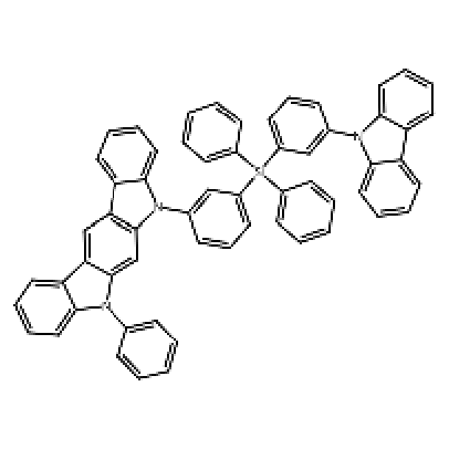 c1ccc(-n2c3ccccc3c3cc4c5ccccc5n(-c5cccc([Si](c6ccccc6)(c6ccccc6)c6cccc(-n7c8ccccc8c8ccccc87)c6)c5)c4cc32)cc1